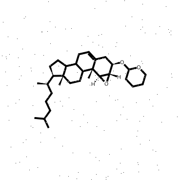 CC(C)CCC[C@@H](C)[C@H]1CCC2C3CC=C4C[C@@H](OC5CCCCO5)[C@@H]5O[C@H]5[C@]4(C)C3CC[C@@]21C